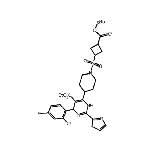 CCOC(=O)C1=C(C2CCN(S(=O)(=O)C3CC(C(=O)OC(C)(C)C)C3)CC2)NC(c2nccs2)=NC1c1ccc(F)cc1Cl